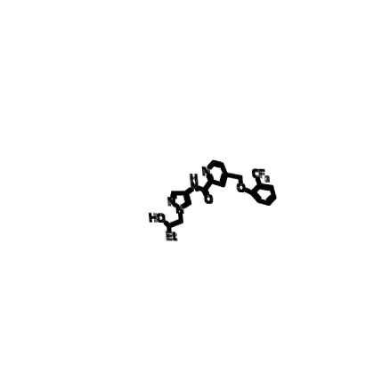 CCC(O)Cn1cc(NC(=O)c2cc(COc3ccccc3C(F)(F)F)ccn2)cn1